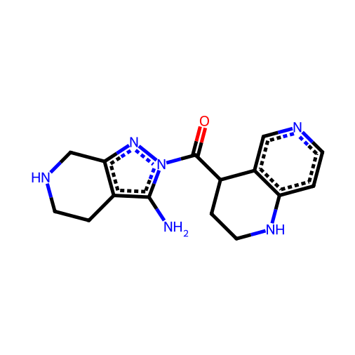 Nc1c2c(nn1C(=O)C1CCNc3ccncc31)CNCC2